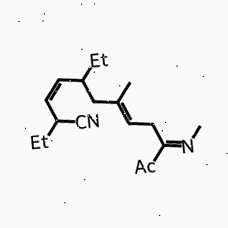 CCC(C#N)/C=C\C(CC)C/C(C)=C/C/C(=N\C)C(C)=O